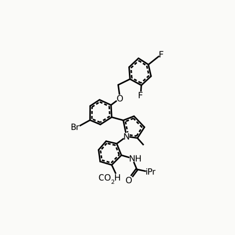 Cc1ccc(-c2cc(Br)ccc2OCc2ccc(F)cc2F)n1-c1cccc(C(=O)O)c1NC(=O)C(C)C